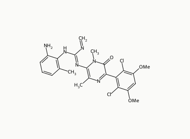 C=N/C(=N\c1c(C)nc(-c2c(Cl)c(OC)cc(OC)c2Cl)c(=O)n1C)Nc1c(C)cccc1N